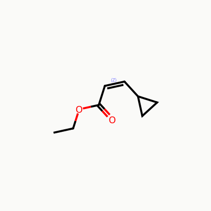 CCOC(=O)/C=C\C1CC1